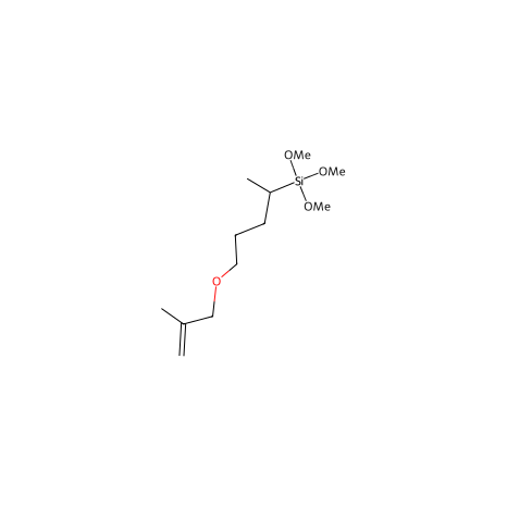 C=C(C)COCCCC(C)[Si](OC)(OC)OC